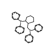 c1ccc(P(CC2CCCCC2P(c2ccccc2)c2ccccc2)c2ccccc2)cc1